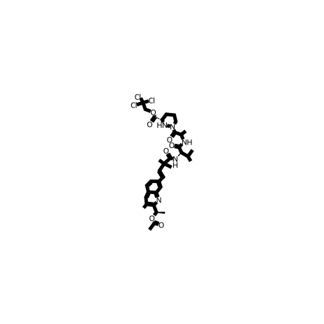 CC(=O)O[C@H](C)c1nc2cc(/C=C/C(C)(C)C(=O)N[C@H](C(=O)NC(C)C(=O)N3CCC[C@@H](C(=O)OCC(Cl)(Cl)Cl)N3)C(C)C)ccc2cc1C